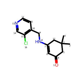 CC1(C)CC(=O)C=C(NCc2ccncc2Cl)C1